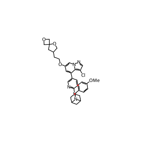 COc1ccc(CN2C3CC2CN(c2ccc(-c4cc(OCCC5COC6(COC6)C5)cn5ncc(Cl)c45)cn2)C3)cc1